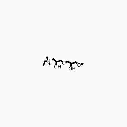 CC[N+](C)(C)CC(O)COCC(O)COC